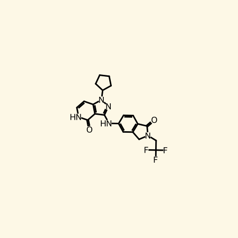 O=C1c2ccc(Nc3nn(C4CCCC4)c4cc[nH]c(=O)c34)cc2CN1CC(F)(F)F